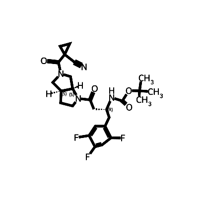 CC(C)(C)OC(=O)N[C@@H](CC(=O)N1CC[C@H]2CN(C(=O)C3(C#N)CC3)C[C@H]21)Cc1cc(F)c(F)cc1F